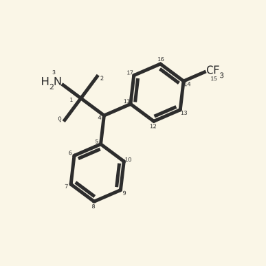 [CH2]C(C)(N)C(c1ccccc1)c1ccc(C(F)(F)F)cc1